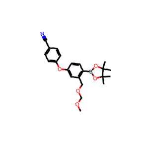 COCOCc1cc(Oc2ccc(C#N)cc2)ccc1B1OC(C)(C)C(C)(C)O1